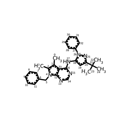 Cc1c(C)n(Cc2ccccc2)c2ncnc(Nc3cc(C(C)(C)C)nn3-c3ccccc3)c12